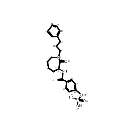 O=C(N[C@H]1CCCCN(CCCc2ccccc2)C1=O)c1ccc(OP(=O)(O)O)cc1